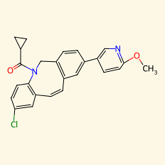 COc1ccc(-c2ccc3c(c2)/C=C\c2cc(Cl)ccc2N(C(=O)C2CC2)C3)cn1